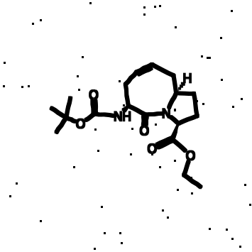 CCOC(=O)[C@@H]1CC[C@@H]2CC=CC[C@H](NC(=O)OC(C)(C)C)C(=O)N21